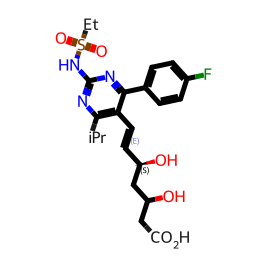 CCS(=O)(=O)Nc1nc(-c2ccc(F)cc2)c(/C=C/[C@@H](O)CC(O)CC(=O)O)c(C(C)C)n1